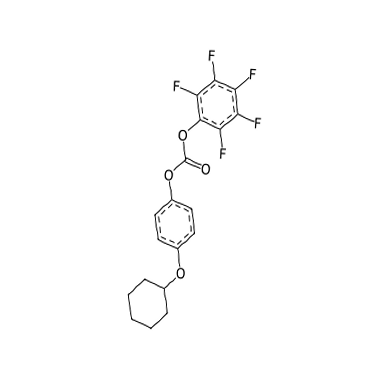 O=C(Oc1ccc(OC2CCCCC2)cc1)Oc1c(F)c(F)c(F)c(F)c1F